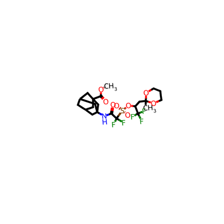 COC(=O)C12CC3CC(CC(NC(=O)C(F)(F)S(=O)(=O)OC(CC4(C)OCCCO4)C(F)(F)F)(C3)C1)C2